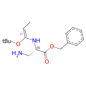 C/C=C(\N[C@@H](CN)C(=O)OCc1ccccc1)OC(C)(C)C